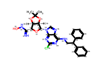 CC1(C)O[C@@H]2[C@H](O1)[C@@H](C(=N)NO)O[C@H]2n1cnc2c(NCC(c3ccccc3)c3ccccc3)nc(Cl)nc21